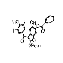 CCCCCc1oc2cc(OC(=O)c3ccccc3)c(O)cc2c1C(=O)c1cc(I)c(O)c(I)c1